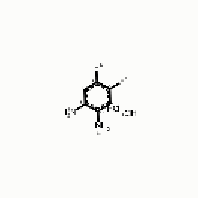 Cl.Cl.Nc1cc(F)c(F)cc1N